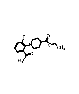 CCOC(=O)C1CCN(c2c(F)cccc2C(C)=O)CC1